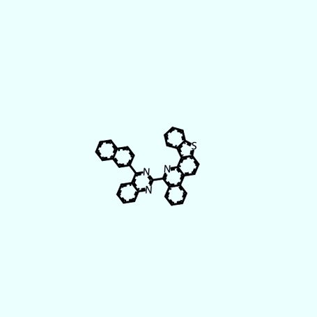 c1ccc2cc(-c3nc(-c4nc5c(ccc6sc7ccccc7c65)c5ccccc45)nc4ccccc34)ccc2c1